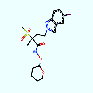 C[C@@](CCn1cc2cc(I)ccc2n1)(C(=O)NO[C@H]1CCCCO1)S(C)(=O)=O